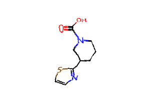 O=C(O)N1CCCC(c2nccs2)C1